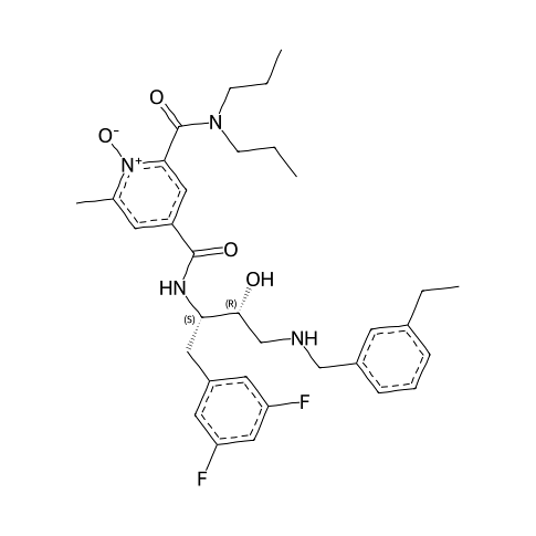 CCCN(CCC)C(=O)c1cc(C(=O)N[C@@H](Cc2cc(F)cc(F)c2)[C@H](O)CNCc2cccc(CC)c2)cc(C)[n+]1[O-]